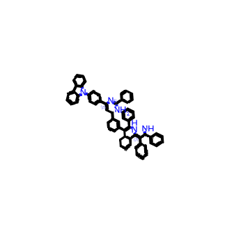 N=C(/C(=C1\NC(c2ccccc2)=C(C2=CC(C/C=C(\N=C(/N)c3ccccc3)c3ccc(-n4c5ccccc5c5ccccc54)cc3)CC=C2)C2CCC=CC12)c1ccccc1)c1ccccc1